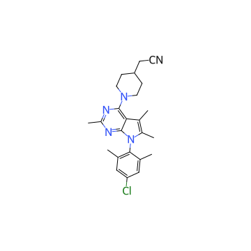 Cc1nc(N2CCC(CC#N)CC2)c2c(C)c(C)n(-c3c(C)cc(Cl)cc3C)c2n1